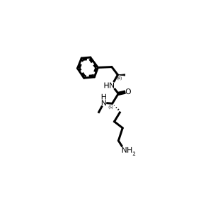 CN[C@@H](CCCCN)C(=O)N[C@H](C)Cc1ccccc1